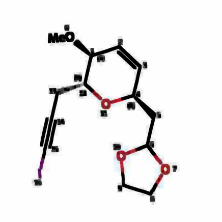 CO[C@H]1C=C[C@@H](CC2OCCO2)O[C@@H]1CC#CI